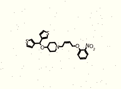 O=[N+]([O-])c1ccccc1OC/C=C\CN1CCC(OC(c2ccsc2)c2ccsc2)CC1